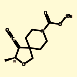 C[C@@H]1OCC2(CCN(C(=O)OC(C)(C)C)CC2)C1=C=O